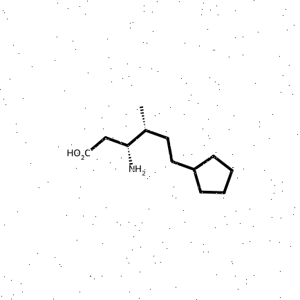 C[C@H](CCC1CCCC1)[C@H](N)CC(=O)O